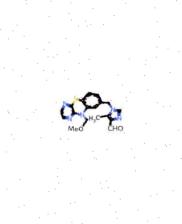 COCN1c2cc(Cn3cnc(C=O)c3C)ccc2Sc2nccnc21